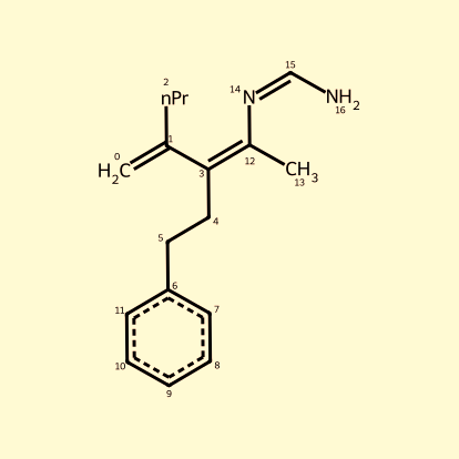 C=C(CCC)/C(CCc1ccccc1)=C(C)\N=C/N